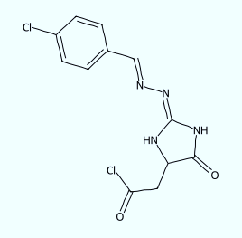 O=C(Cl)CC1N/C(=N\N=C\c2ccc(Cl)cc2)NC1=O